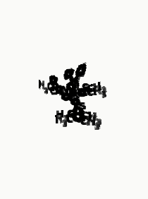 CC(C)(C)c1ccc(Nc2cc3sc4cc5c(cc4c3cc2-c2ccc3c4cc6c(cc4n4c3c2Bc2cc3sc(-c7ccccc7)c(-c7ccccc7)c3cc2-4)-c2ccccc2C6(C)C)C(C)(C)CCC5(C)C)cc1